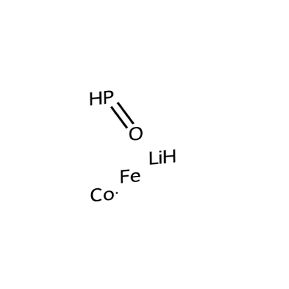 O=P.[Co].[Fe].[LiH]